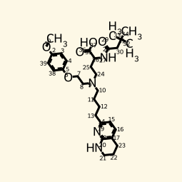 COc1ccc(OCCN(CCCCc2ccc3c(n2)NCCC3)CCC(NC(=O)CC(C)(C)C)C(=O)O)cc1